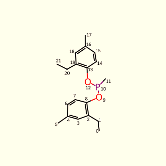 CCc1cc(C)ccc1OP(C)Oc1ccc(C)cc1CC